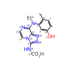 CCN(c1cc(O)ccc1C)c1nccn2c(NC(=O)O)nnc12